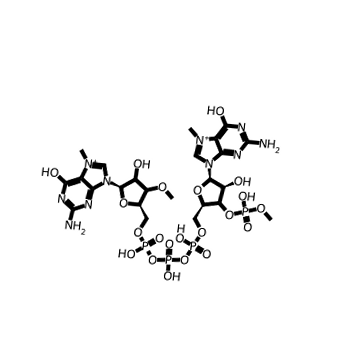 COC1C(O)[C@H](n2c[n+](C)c3c(O)nc(N)nc32)O[C@@H]1COP(=O)(O)OP(=O)(O)OP(=O)(O)OC[C@H]1O[C@@H](n2c[n+](C)c3c(O)nc(N)nc32)[C@@H](O)C1OP(=O)(O)OC